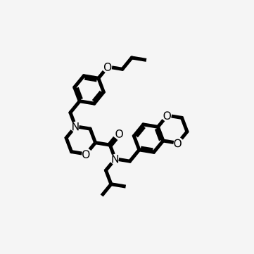 CCCOc1ccc(CN2CCOC(C(=O)N(Cc3ccc4c(c3)OCCO4)CC(C)C)C2)cc1